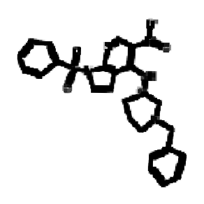 O=[N+]([O-])c1cnc2c(ccn2S(=O)(=O)c2ccccc2)c1N[C@@H]1CCCN(Cc2ccccc2)C1